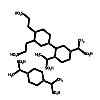 CC(N1CCN(C(C)S(=O)(=O)O)C(N2CCN(CCS(=O)(=O)O)C(CCS(=O)(=O)O)C2)C1)S(=O)(=O)O.CC(N1CCN(C(C)S(=O)(=O)O)CC1)S(=O)(=O)O